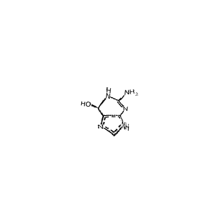 NC1=Nc2[nH]cnc2[C@@H](O)N1